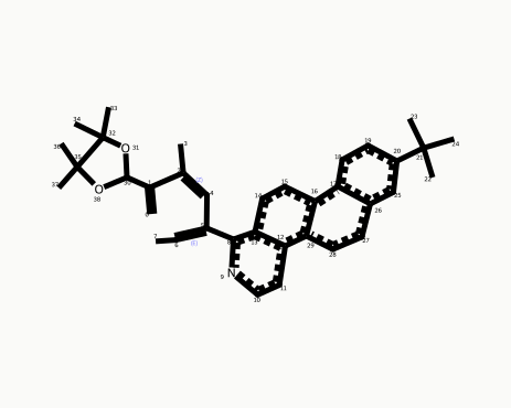 C=C(/C(C)=C\C(=C/C)c1nccc2c1ccc1c3ccc(C(C)(C)C)cc3ccc21)C1OC(C)(C)C(C)(C)O1